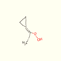 CC(OO)=C1CC1